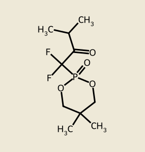 CC(C)C(=O)C(F)(F)P1(=O)OCC(C)(C)CO1